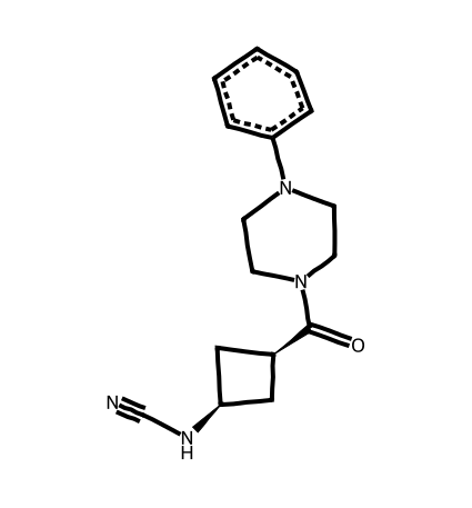 N#CN[C@H]1C[C@@H](C(=O)N2CCN(c3ccccc3)CC2)C1